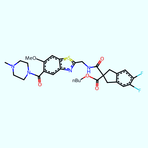 CCCCOC(=O)C1(C(=O)NCc2nc3cc(C(=O)N4CCN(C)CC4)c(OC)cc3s2)Cc2cc(F)c(F)cc2C1